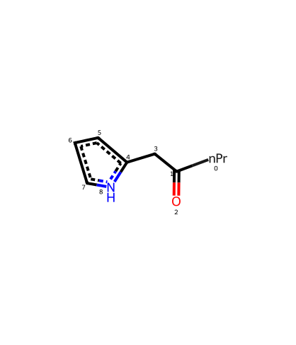 CCCC(=O)Cc1ccc[nH]1